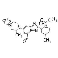 CCN1CCN(c2cc(C=O)c3c(c2)=NC(C)(C2CC(C)CCN2C(C)=O)N=3)C(C)C1